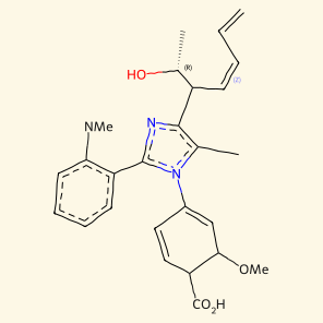 C=C/C=C\C(c1nc(-c2ccccc2NC)n(C2=CC(OC)C(C(=O)O)C=C2)c1C)[C@@H](C)O